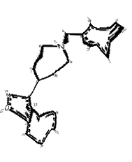 c1ccc(CN2CCC(c3noc4ccccc34)CC2)cc1